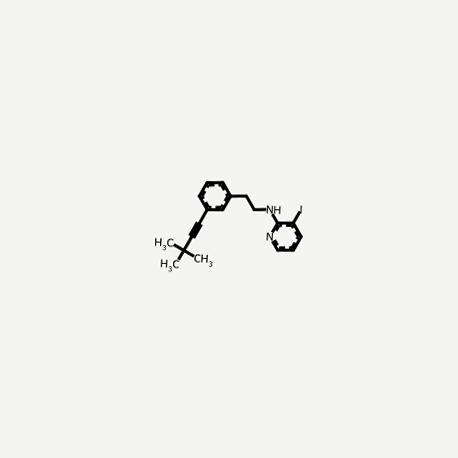 CC(C)(C)C#Cc1cccc(CCNc2ncccc2I)c1